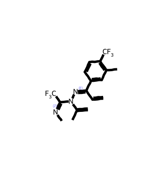 C=C/C(=N\N(C(=C)C)/C(=N\C)C(F)(F)F)c1ccc(C(F)(F)F)c(C)c1